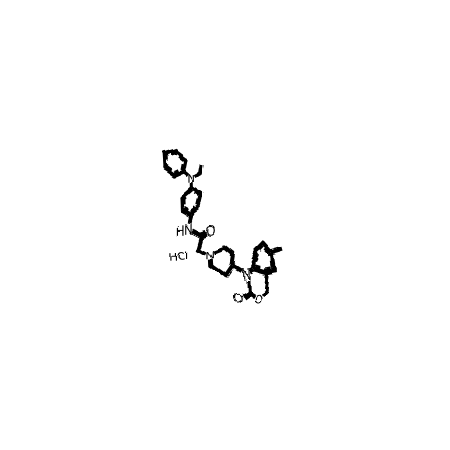 CCN(c1ccccc1)c1ccc(NC(=O)CN2CCC(N3C(=O)OCc4cc(C)ccc43)CC2)cc1.Cl